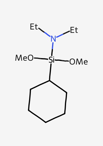 CCN(CC)[Si](OC)(OC)C1CCCCC1